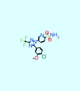 COc1cc(-c2nc(C(F)(F)F)nn2-c2ccc(S(N)(=O)=O)nc2)ccc1Cl